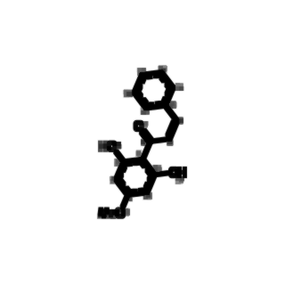 COc1cc(O)c(C(=O)/C=C\c2ccccc2)c(O)c1